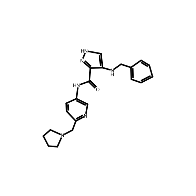 O=C(Nc1ccc(CN2CCCC2)nc1)c1n[nH]cc1NCc1ccccc1